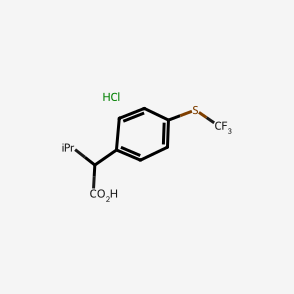 CC(C)C(C(=O)O)c1ccc(SC(F)(F)F)cc1.Cl